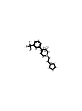 Cl.FC(F)(F)c1cccc(C2=CCN(CCC3CCCC3)CC2)c1